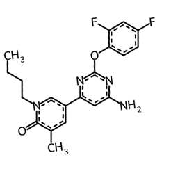 CCCCn1cc(-c2cc(N)nc(Oc3ccc(F)cc3F)n2)cc(C)c1=O